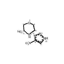 C1COCCN1.Cl.O=[N+]([O-])c1c[nH]nn1